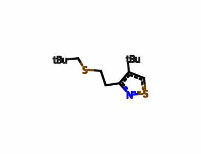 CC(C)(C)CSCCc1nscc1C(C)(C)C